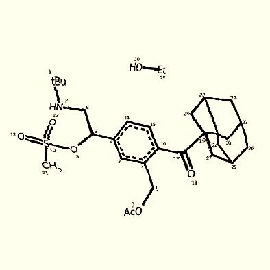 CC(=O)OCc1cc(C(CNC(C)(C)C)OS(C)(=O)=O)ccc1C(=O)C12CC3CC(CC(C3)C1)C2.CCO